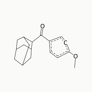 COc1ccc(C(=O)C2C3CC4CC(C3)CC2C4)cc1